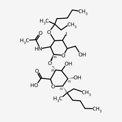 CCCCC(C)(CC)OC1C(I)C(CO)O[C@@H](O[C@H]2C(C(=O)O)O[C@@H](C(C)(CC)CCCC)[C@@H](O)C2O)C1NC(C)=O